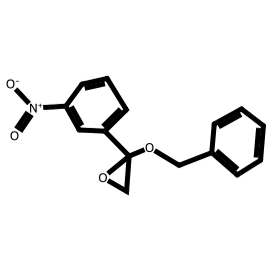 O=[N+]([O-])c1cccc(C2(OCc3ccccc3)CO2)c1